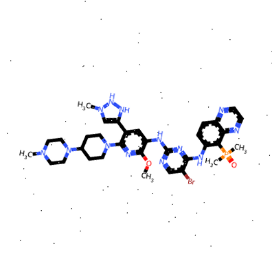 COc1nc(N2CCC(N3CCN(C)CC3)CC2)c(C2=CN(C)NN2)cc1Nc1ncc(Br)c(Nc2ccc3nccnc3c2P(C)(C)=O)n1